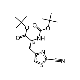 CC(C)(C)OC(=O)N[C@@H](Cc1csc(C#N)n1)C(=O)OC(C)(C)C